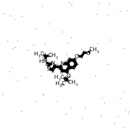 COCCOc1ccc2c(OC(C)(C)C)cc(-c3csc(NC(C)C)n3)nc2c1